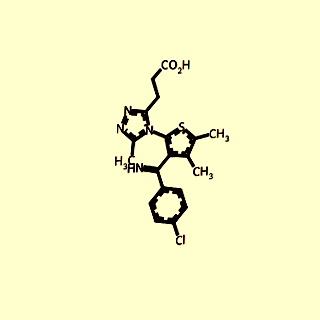 Cc1sc(-n2c(C)nnc2CCC(=O)O)c(C(=N)c2ccc(Cl)cc2)c1C